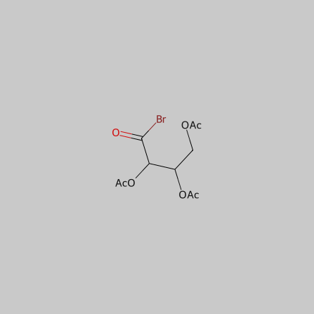 CC(=O)OCC(OC(C)=O)C(OC(C)=O)C(=O)Br